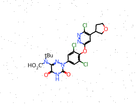 CC(C)(C)N(C(=O)O)c1nn(-c2cc(Cl)c(Oc3cc(C4CCOC4)c(Cl)nn3)c(Cl)c2)c(=O)[nH]c1=O